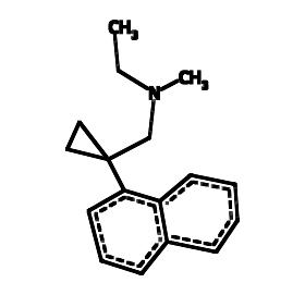 CCN(C)CC1(c2cccc3ccccc23)CC1